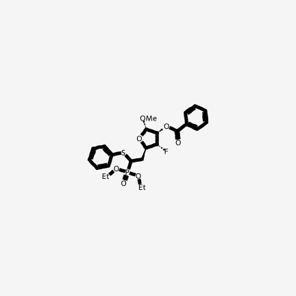 CCOP(=O)(OCC)C(C[C@H]1O[C@H](OC)[C@H](OC(=O)c2ccccc2)[C@@H]1F)Sc1ccccc1